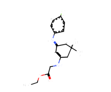 CCOC(=O)CNC1=C/C(=N/c2ccc(F)cc2)CC(C)(C)C1